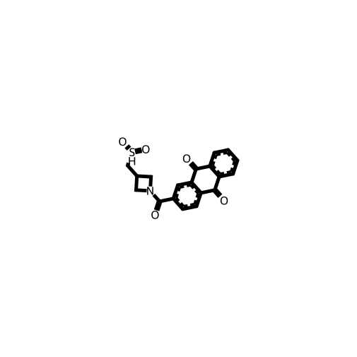 O=C1c2ccccc2C(=O)c2cc(C(=O)N3CC(C[SH](=O)=O)C3)ccc21